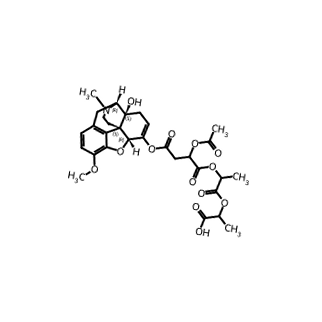 COc1ccc2c3c1O[C@H]1C(OC(=O)CC(OC(C)=O)C(=O)OC(C)C(=O)OC(C)C(=O)O)=CC[C@@]4(O)[C@@H](C2)N(C)CC[C@]314